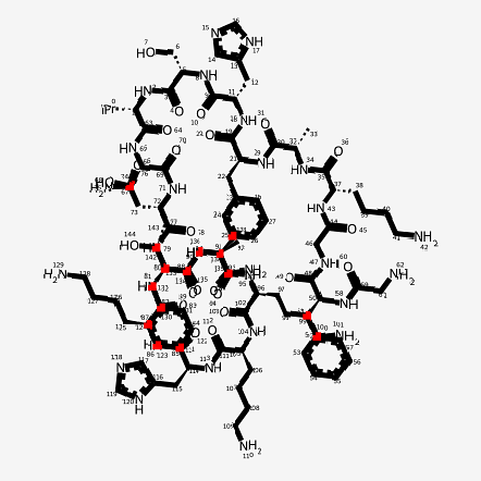 CC(C)[C@H](NC(=O)[C@H](CO)NC(=O)[C@H](Cc1cnc[nH]1)NC(=O)[C@H](Cc1ccccc1)NC(=O)[C@H](C)NC(=O)[C@H](CCCCN)NC(=O)CNC(=O)[C@H](Cc1ccccc1)NC(=O)CN)C(=O)N[C@@H](CO)C(=O)N[C@@H](CC(N)=O)C(=O)N[C@@H](Cc1ccccc1)C(=O)N[C@@H](C)C(=O)N[C@@H](CCCCN)C(=O)N[C@@H](CCCCN)C(=O)N[C@@H](Cc1cnc[nH]1)C(=O)N[C@@H](CCCCN)C(=O)N[C@H](C(=O)N[C@@H](C)C(N)=O)[C@@H](C)O